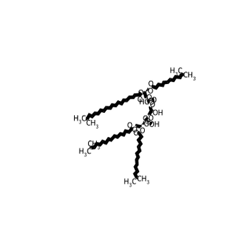 CC(C)CCCCCCCCCCCCCCCCCC(=O)O[C@H](COC(=O)CCCCCCCCCC(C)C)COP(=O)(O)OCC(O)COP(=O)(O)OC[C@@H](COC(=O)CCCCCCCCCCCCCC(C)C)OC(=O)CCCCCCCCCCCCC(C)C